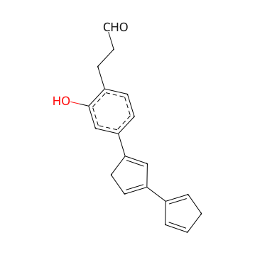 O=CCCc1ccc(C2=CC(C3=CCC=C3)=CC2)cc1O